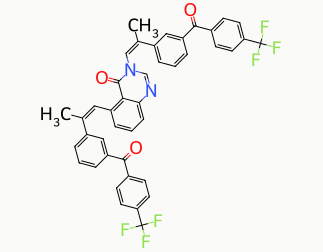 CC(=Cc1cccc2ncn(C=C(C)c3cccc(C(=O)c4ccc(C(F)(F)F)cc4)c3)c(=O)c12)c1cccc(C(=O)c2ccc(C(F)(F)F)cc2)c1